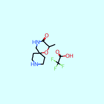 CC1OC2(CCNCC2)CNC1=O.O=C(O)C(F)(F)F